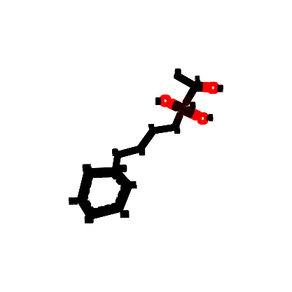 CC(=O)S(=O)(=O)CCCCc1ccccc1